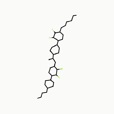 CCCCCCC1CCC(C2CCC(C(C)CC3CCC(C4CCC(CCCC)CC4)C(F)C3F)CC2)C(F)C1F